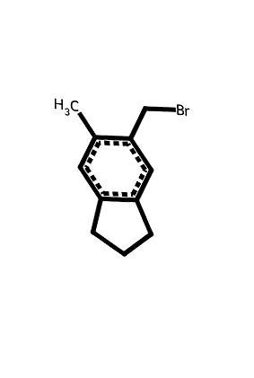 Cc1cc2c(cc1CBr)CCC2